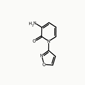 Nc1cccn(-c2ccon2)c1=O